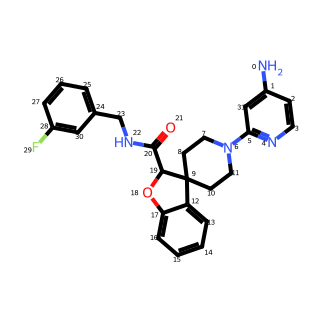 Nc1ccnc(N2CCC3(CC2)c2ccccc2OC3C(=O)NCc2cccc(F)c2)c1